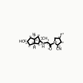 C[C@]1(NCC(=O)N2C[C@@H](F)C[C@H]2C#N)C[C@H]2C[C@H](O)C[C@H]2C1